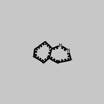 [c]1ccc2nn[c]cc2c1